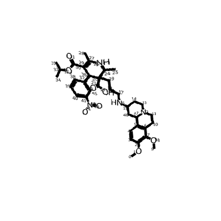 COc1ccc2c(c1OC)CCN1CCC(NCCCC3(C(=O)O)C(C)NC(C)=C(C(=O)OC(C)C)C3c3cccc([N+](=O)[O-])c3)CC21